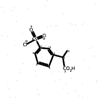 CC(C(=O)O)c1cccc(S(=O)(=O)Cl)c1